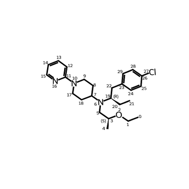 CCO[C@@H](C)CN(C1CCN(c2ccccn2)CC1)[C@H](CC)Cc1ccc(Cl)cc1